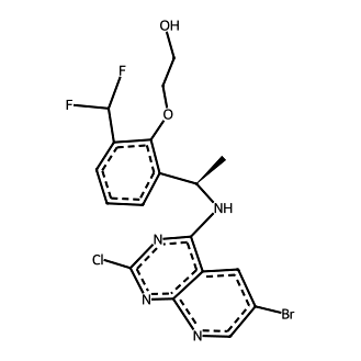 C[C@@H](Nc1nc(Cl)nc2ncc(Br)cc12)c1cccc(C(F)F)c1OCCO